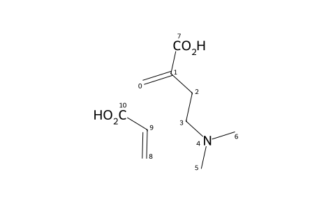 C=C(CCN(C)C)C(=O)O.C=CC(=O)O